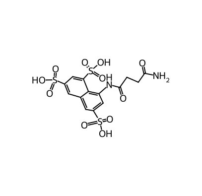 NC(=O)CCC(=O)Nc1cc(S(=O)(=O)O)cc2cc(S(=O)(=O)O)cc(S(=O)(=O)O)c12